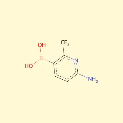 Nc1ccc(B(O)O)c(C(F)(F)F)n1